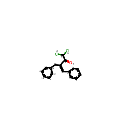 O=C(C(=Cc1ccccc1)Cc1ccccc1)C(Cl)Cl